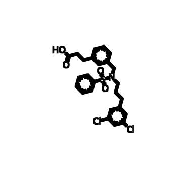 O=C(O)CCc1cccc(CN(CCCc2cc(Cl)cc(Cl)c2)S(=O)(=O)c2ccccc2)c1